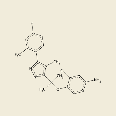 Cn1c(-c2ccc(F)cc2C(F)(F)F)nnc1C(C)(C)Oc1ccc(N)cc1Cl